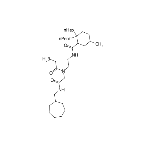 BCC(=O)N(CCNC(=O)C1CC(C)CCC1(CCCCC)CCCCCC)CC(=O)NCC1CCCCCC1